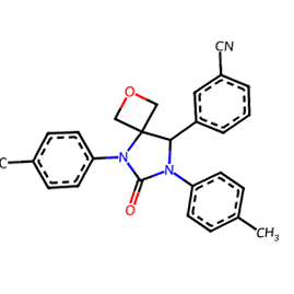 Cc1ccc(N2C(=O)N(c3ccc(C#N)cc3)C3(COC3)C2c2cccc(C#N)c2)cc1